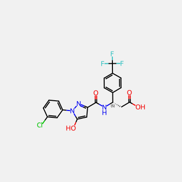 O=C(O)C[C@H](NC(=O)c1cc(O)n(-c2cccc(Cl)c2)n1)c1ccc(C(F)(F)F)cc1